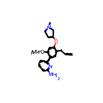 C=CCc1cc(-c2cccc(N)n2)c(OC)cc1OC1CCN(C)C1